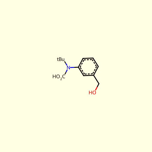 CC(C)(C)N(C(=O)O)c1cccc(CO)c1